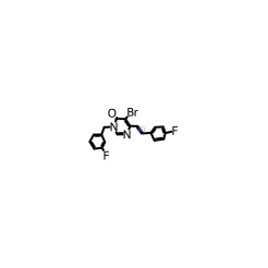 O=c1c(Br)c(/C=C/c2ccc(F)cc2)ncn1Cc1cccc(F)c1